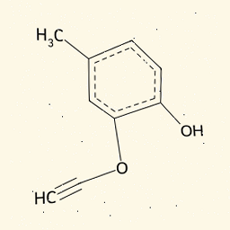 C#COc1cc(C)ccc1O